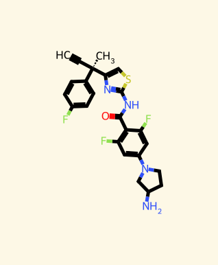 C#C[C@](C)(c1ccc(F)cc1)c1csc(NC(=O)c2c(F)cc(N3CCC(N)C3)cc2F)n1